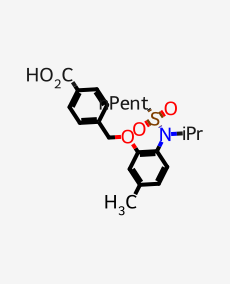 CCCCCS(=O)(=O)N(c1ccc(C)cc1OCc1ccc(C(=O)O)cc1)C(C)C